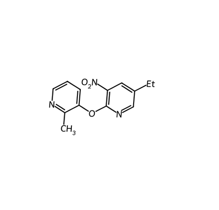 CCc1cnc(Oc2cccnc2C)c([N+](=O)[O-])c1